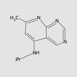 Cc1cc(NC(C)C)c2cncnc2n1